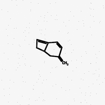 C=C1C=CC2=CCC2C1